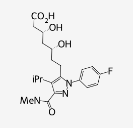 CNC(=O)c1nn(-c2ccc(F)cc2)c(CC[C@@H](O)C[C@@H](O)CC(=O)O)c1C(C)C